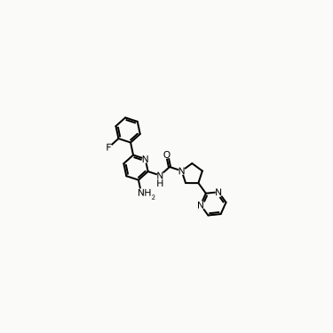 Nc1ccc(-c2ccccc2F)nc1NC(=O)N1CCC(c2ncccn2)C1